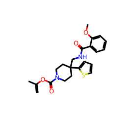 C=C(C)OC(=O)N1CCC(CNC(=O)c2ccccc2OC)(c2cccs2)CC1